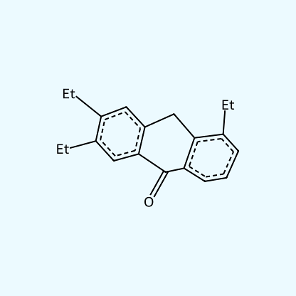 CCc1cc2c(cc1CC)C(=O)c1cccc(CC)c1C2